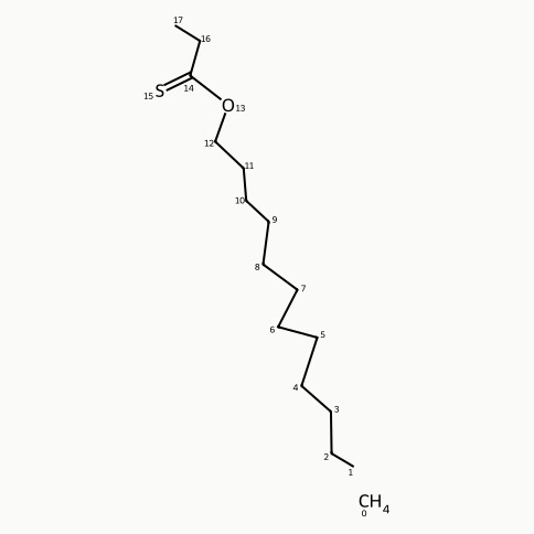 C.CCCCCCCCCCCCOC(=S)CC